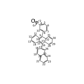 CP(C)(=O)c1cccc(C2=c3ccccc3=C(c3ccc4ccccc4c3)C3C=CC=CC23)c1